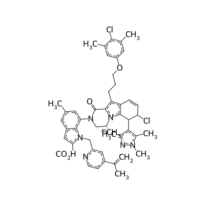 C=C(C)c1ccnc(Cn2c(C(=O)O)cc3cc(C)cc(N4C[C@@H](C)n5c(c(CCCOc6cc(C)c(Cl)c(C)c6)c6c5C(c5c(C)nn(C)c5C)C(Cl)C=C6)C4=O)c32)c1